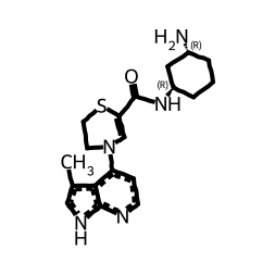 Cc1c[nH]c2nccc(N3C=C(C(=O)N[C@@H]4CCC[C@@H](N)C4)SCC3)c12